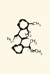 C=C(/C(=C\C)c1cccc(C)c1F)c1ccccc1/C(C)=N/C